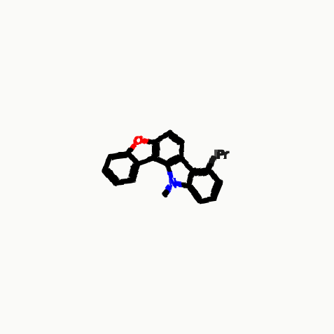 CC(C)c1cccc2c1c1ccc3oc4ccccc4c3c1n2C